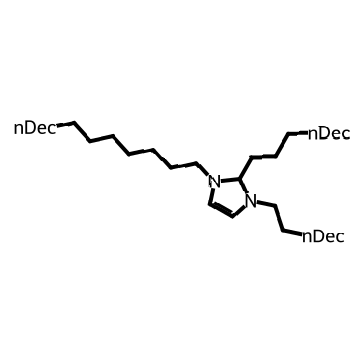 CCCCCCCCCCCCCCCCCN1C=CN(CCCCCCCCCCCC)C1CCCCCCCCCCCCC